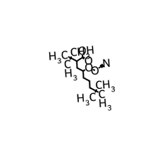 CC(C)(C)CCCC(CC(C(=O)O)C(C)(C)C)OOC#N